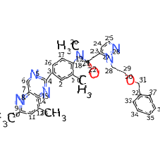 Cc1cc(-c2ncc3nc(C(F)(F)F)cc(C)c3n2)ccc1N(C)C(=O)c1ccnn1CCOCc1ccccc1